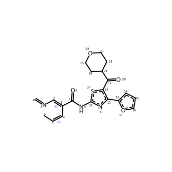 C=N/C=C(\C=C/C)C(=O)Nc1nc(-c2ccco2)c(C(=O)C2CCOCC2)s1